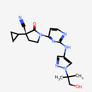 CC(C)(CO)n1cc(Nc2nccc(N3CC[C@](C#N)(C4CC4)C3=O)n2)cn1